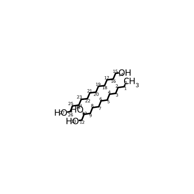 CCCCCCCCCCC(O)CO.OCCCCCCCCCCCCO